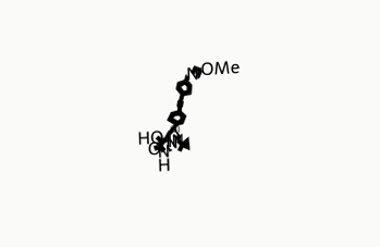 COC1CN(Cc2ccc(C#Cc3ccc([C@@H](CNC4(C)CC4)Cc4nc[nH]c(=O)c4O)cc3)cc2)C1